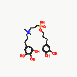 C[N+](C)(CCCc1cc(O)c(O)c(O)c1)CCCP(=O)(O)OCCCc1ccc(O)c(O)c1